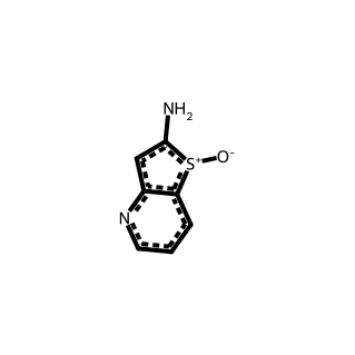 Nc1cc2ncccc2[s+]1[O-]